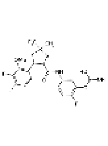 COc1c(C2CC(C)(C(F)(F)F)SC2C(=O)Nc2ccc(F)c(OB(O)O)c2)ccc(F)c1F